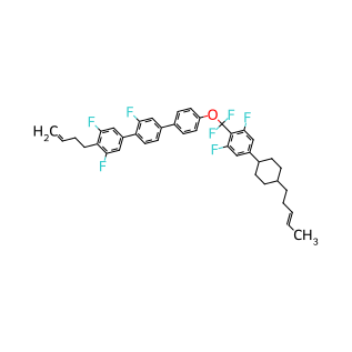 C=CCCc1c(F)cc(-c2ccc(-c3ccc(OC(F)(F)c4c(F)cc(C5CCC(CC/C=C/C)CC5)cc4F)cc3)cc2F)cc1F